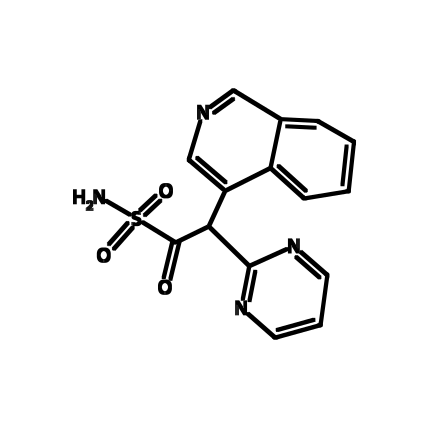 NS(=O)(=O)C(=O)C(c1ncccn1)c1cncc2ccccc12